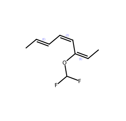 C/C=C/C=C\C(=C/C)OC(F)F